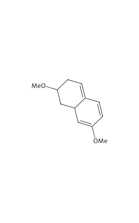 COC1=CC2CC(OC)CC=C2C=C1